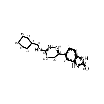 O=c1[nH]c2ccc(C3=NN=C(NCC4CCCCC4)SC3)cc2[nH]1